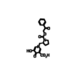 O=C(COC(=O)N1CCC[C@H]1Cn1cc(O)c(=O)c(C(=O)O)c1)c1ccccc1